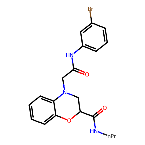 CCCNC(=O)C1CN(CC(=O)Nc2cccc(Br)c2)c2ccccc2O1